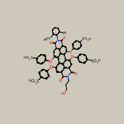 CCCc1cccc(C(C)C)c1N1C(=O)c2cc(Oc3ccc(S(=O)(=O)O)cc3)c3c4c(Oc5ccc(S(=O)(=O)O)cc5)cc5c6c(cc(Oc7ccc(S(=O)(=O)O)cc7)c(c7c(Oc8ccc(S(=O)(=O)O)cc8)cc(c2c37)C1=O)c64)C(=O)N(CCCO)C5=O